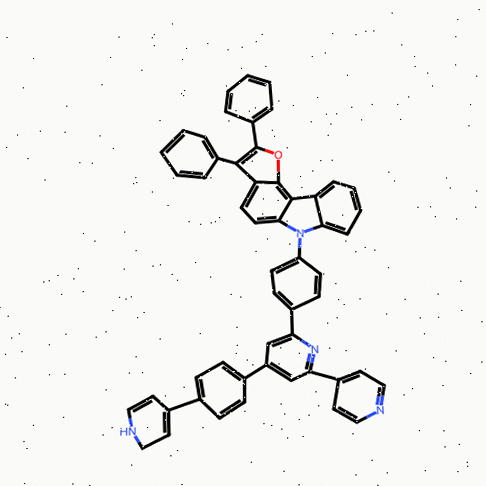 C1=CC(c2ccc(-c3cc(-c4ccncc4)nc(-c4ccc(-n5c6ccccc6c6c7oc(-c8ccccc8)c(-c8ccccc8)c7ccc65)cc4)c3)cc2)=CCN1